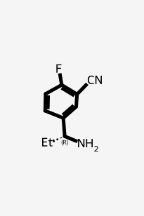 CC[C@@H](N)c1ccc(F)c(C#N)c1